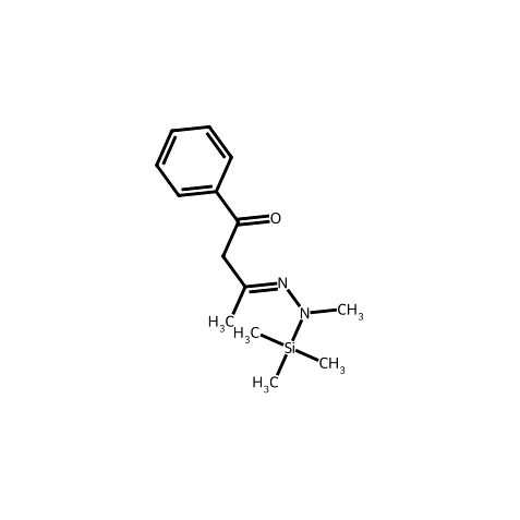 CC(CC(=O)c1ccccc1)=NN(C)[Si](C)(C)C